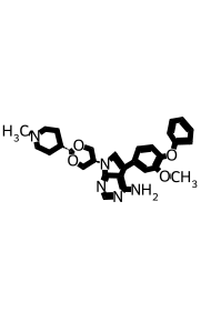 COc1cc(-c2cn([C@H]3CO[C@@H](C4CCN(C)CC4)OC3)c3ncnc(N)c23)ccc1Oc1ccccc1